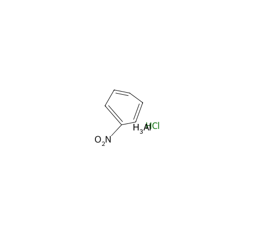 Cl.O=[N+]([O-])c1ccccc1.[AlH3]